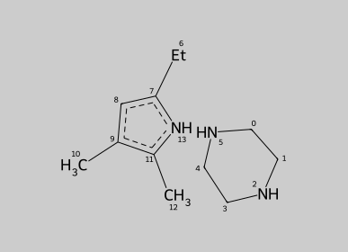 C1CNCCN1.CCc1cc(C)c(C)[nH]1